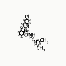 C[C@@H]1C[C@@H](C)CN(CCCNC(=O)CN2C(=O)/C(=C\c3cccc(Cl)c3)Sc3ccccc32)C1